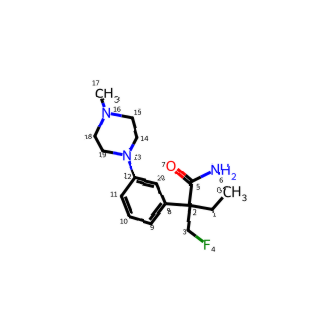 CCC(CF)(C(N)=O)c1cccc(N2CCN(C)CC2)c1